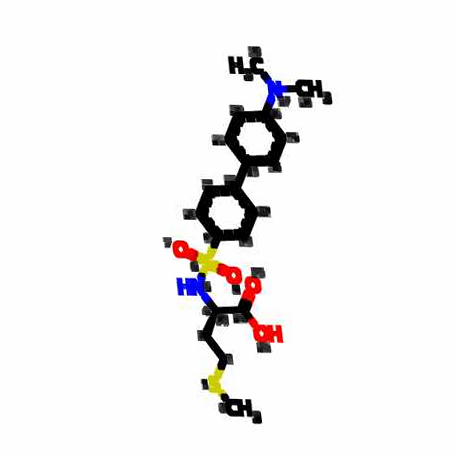 CSCC[C@@H](NS(=O)(=O)c1ccc(-c2ccc(N(C)C)cc2)cc1)C(=O)O